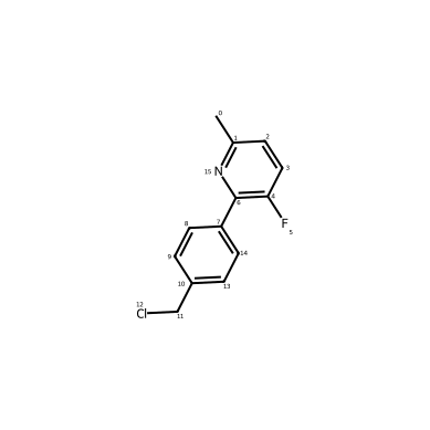 Cc1ccc(F)c(-c2ccc(CCl)cc2)n1